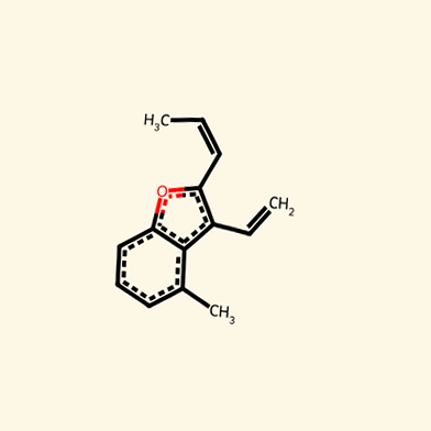 C=Cc1c(/C=C\C)oc2cccc(C)c12